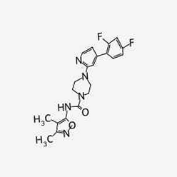 Cc1noc(NC(=O)N2CCN(c3cc(-c4ccc(F)cc4F)ccn3)CC2)c1C